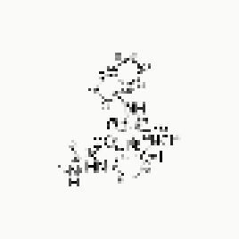 CN[C@@H](C)C(=O)N[C@H]1CCO[C@H]2CC(C)(C)[C@@H](C(=O)N[C@@H]3CCSc4ccccc43)N2C1=O.Cl